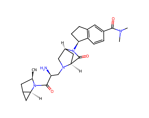 CN(C)C(=O)c1ccc2c(c1)CC[C@@H]2N1C(=O)[C@@H]2C[C@H]1CN2C[C@H](N)C(=O)N1[C@H](C#N)CC2C[C@@H]21